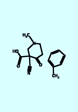 CN1CCC(=O)C(C#N)(C(=O)O)C1.Cc1ccccc1